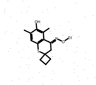 CCON=C1CC2(CCC2)Sc2cc(C)c(O)c(C)c21